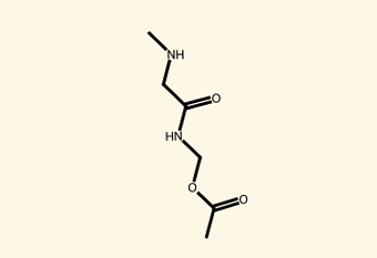 CNCC(=O)NCOC(C)=O